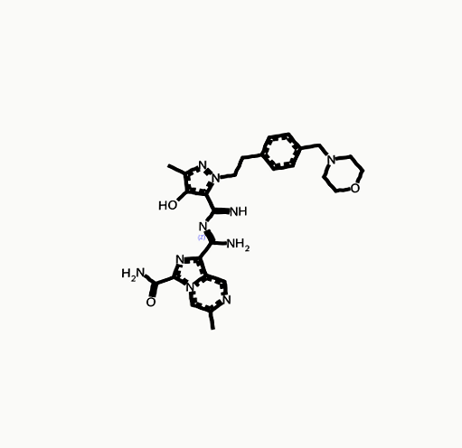 Cc1cn2c(C(N)=O)nc(/C(N)=N/C(=N)c3c(O)c(C)nn3CCc3ccc(CN4CCOCC4)cc3)c2cn1